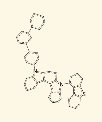 c1ccc(-c2cccc(-c3ccc(-n4c5ccccc5c5c6c7ccccc7n(-c7cccc8sc9ccccc9c78)c6ccc54)cc3)c2)cc1